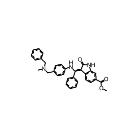 COC(=O)c1ccc2c(c1)NC(=O)/C2=C(\Nc1ccc(CN(C)Cc2ccccc2)cc1)c1ccccc1